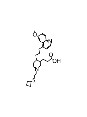 COc1ccc2nccc(CCCC3CCN(CCSC4CCC4)CC3CCC(=O)O)c2c1